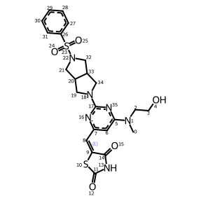 CN(CCO)c1cc(/C=C2/SC(=O)NC2=O)nc(N2CC3CN(S(=O)(=O)c4ccccc4)CC3C2)n1